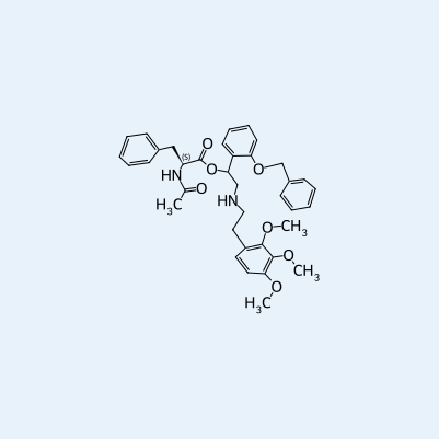 COc1ccc(CCNCC(OC(=O)[C@H](Cc2ccccc2)NC(C)=O)c2ccccc2OCc2ccccc2)c(OC)c1OC